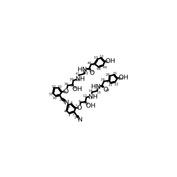 N#Cc1ccccc1OCC(O)CNCCNC(=O)Cc1ccc(O)cc1.N#Cc1ccccc1OCC(O)CNCCNC(=O)Cc1ccc(O)cc1